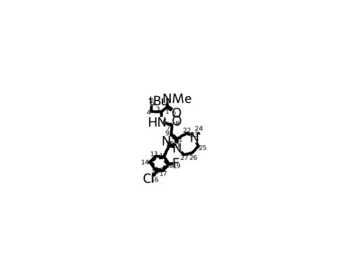 CNC(=O)C(CC(C)(C)C)NC(=O)c1nc(-c2ccc(Cl)cc2F)n2c1CN(C)CCC2